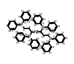 c1ccc(P(CC[CH]([Ni][CH](CCP(c2ccccc2)c2ccccc2)P(c2ccccc2)c2ccccc2)P(c2ccccc2)c2ccccc2)c2ccccc2)cc1